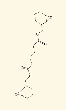 O=C(CCCCC(=O)OCC1CCCC2OC12)OCC1CCCC2OC12